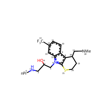 CCCNCC(O)Cn1c2c(c3ccc(C(F)(F)F)cc31)C(CNC)CCS2